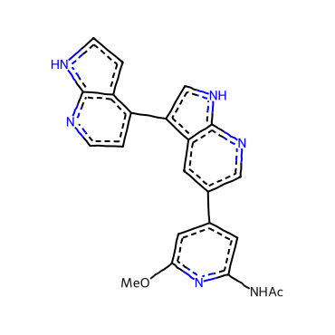 COc1cc(-c2cnc3[nH]cc(-c4ccnc5[nH]ccc45)c3c2)cc(NC(C)=O)n1